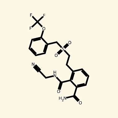 N#CCNC(=O)c1c(CCS(=O)(=O)Cc2ccccc2OC(F)(F)F)cccc1C(N)=O